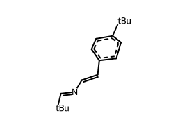 CC(C)(C)/C=N/C=C/c1ccc(C(C)(C)C)cc1